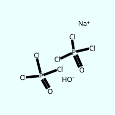 O=P(Cl)(Cl)Cl.O=P(Cl)(Cl)Cl.[Na+].[OH-]